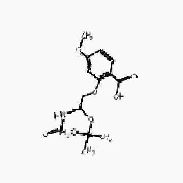 COc1ccc(C(=O)O)c(OCC(NC=O)OC(C)(C)C)c1